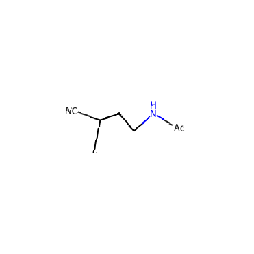 [CH2]C(C#N)CCNC(C)=O